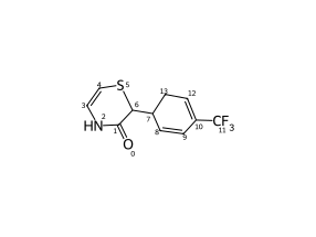 O=C1NC=CSC1C1C=CC(C(F)(F)F)=CC1